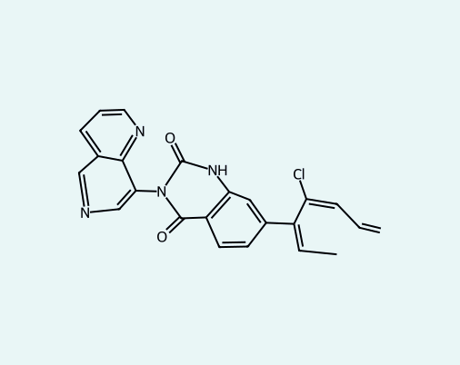 C=C/C=C(Cl)\C(=C/C)c1ccc2c(=O)n(-c3cncc4cccnc34)c(=O)[nH]c2c1